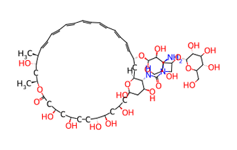 C[C@H]1C[C@H](O)[C@@H](C)/C=C/C=C/C=C/C=C/C=C/C=C/C=C/[C@H](O[C@@H]2OC[C@@H](O)[C@H](N)[C@@H]2O)C[C@@H]2O[C@](O)(C[C@@H](O)C[C@@H](O)[C@H](O)CC[C@@H](O)C[C@@H](O)CC(=O)O1)C[C@H](O)[C@H]2NC(=O)N1CC(O[C@H]2OC(CO)[C@@H](O)C(O)[C@H]2O)C1